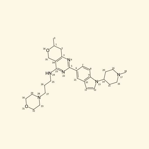 CC1Cc2nc(-c3ccc4c(ccn4C4CCN(C)CC4)c3)nc(NCCCN3CCOCC3)c2CO1